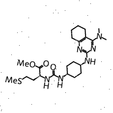 COC(=O)[C@H](CCSC)NC(=O)N[C@H]1CC[C@@H](Nc2nc3c(c(N(C)C)n2)CCCC3)CC1